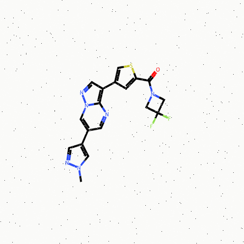 Cn1cc(-c2cnc3c(-c4csc(C(=O)N5CC(F)(F)C5)c4)cnn3c2)cn1